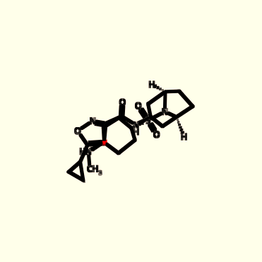 CN[C@H]1CC[C@H](S(=O)(=O)N2[C@@H]3CC[C@H]2C[C@@H](NC(=O)c2cc(C4CC4)on2)C3)CC1